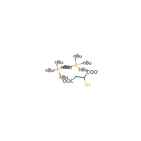 CCCC[P+](CCCC)(CCCC)CCCC.CCCC[P+](CCCC)(CCCC)CCCC.O=C([O-])CC(S)C(=O)[O-]